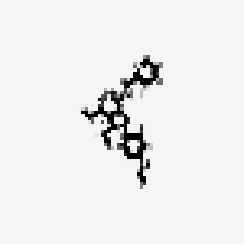 CCOc1ccc(-n2nc3c(NCc4ccccn4)nnc(CC)c3c2CC)c(F)c1